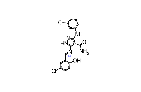 NC(=O)c1c(Nc2cccc(Cl)c2)n[nH]c1/N=C/c1cc(Cl)ccc1O